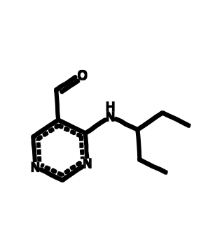 CCC(CC)Nc1ncncc1C=O